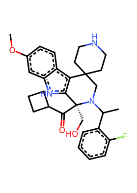 COc1ccc2c3c([nH]c2c1)[C@](CO)(C(=O)C1CCC1)N(C(C)c1ccccc1F)CC31CCNCC1